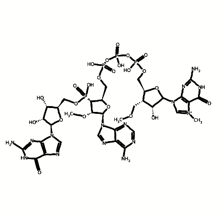 COC[C@@H]1[C@@H](COP(=O)(O)OP(=O)(O)OP(=O)(O)OC[C@H]2O[C@@H](n3cnc4c(N)ncnc43)[C@H](OC)[C@@H]2P(=O)(O)OC[C@H]2O[C@@H](n3cnc4c(=O)[nH]c(N)nc43)[C@H](O)[C@@H]2O)OC(n2c[n+](C)c3c(=O)[nH]c(N)nc32)[C@@H]1O